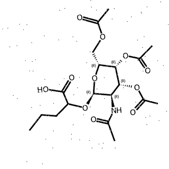 CCCC(O[C@H]1O[C@H](COC(C)=O)[C@H](OC(C)=O)[C@H](OC(C)=O)[C@H]1NC(C)=O)C(=O)O